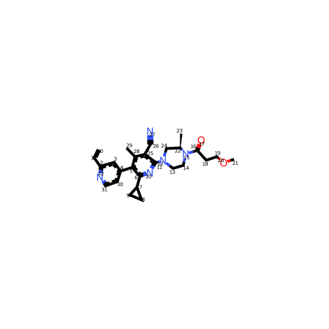 C=Cc1cc(-c2c(C3CC3)nc(N3CCN(C(=O)CCOC)[C@H](C)C3)c(C#N)c2C)ccn1